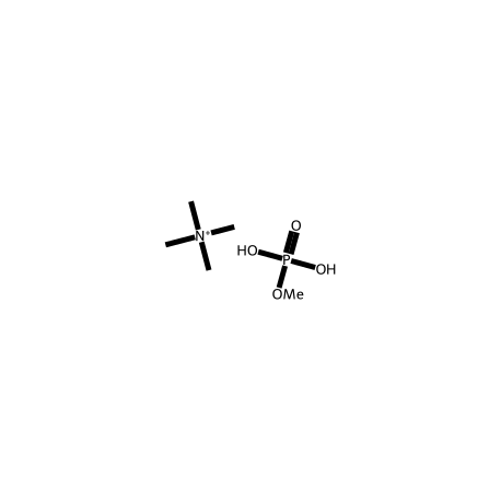 COP(=O)(O)O.C[N+](C)(C)C